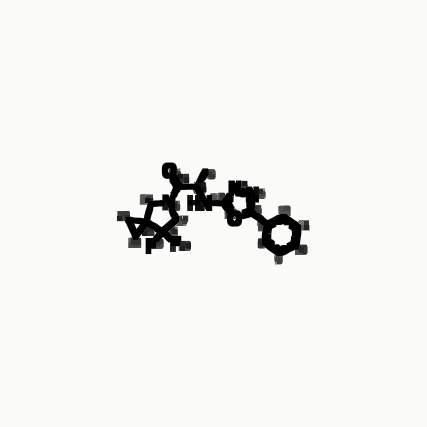 C[C@@H](Nc1nnc(-c2ccccc2)o1)C(=O)N1CC(F)(F)C2(CC2)C1